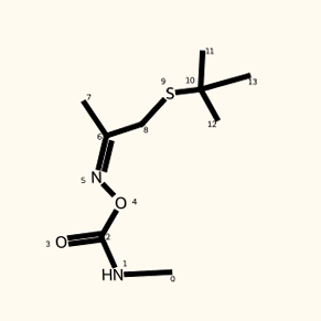 CNC(=O)ON=C(C)CSC(C)(C)C